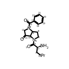 CC(C)C[C@H](N)C(=O)N1CCC2C1C(=O)CN2C(=O)c1ccccc1